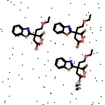 CCOCCC(CC(=O)[O-])(C([O-])=S)c1nc2ccccc2s1.CCOCCC(CC(=O)[O-])(C([O-])=S)c1nc2ccccc2s1.CCOCCC(CC(=O)[O-])(C([O-])=S)c1nc2ccccc2s1.[Al+3].[Al+3]